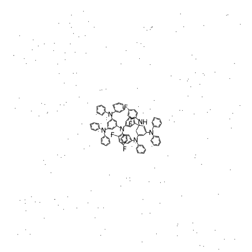 Fc1ccc(NC2(c3cccc(N(c4cc(N(c5ccccc5)c5ccccc5)cc(N(c5ccccc5)c5ccccc5)c4)c4ccc(F)cc4F)c3)C=C(N(c3ccccc3)c3ccccc3)C=C(N(c3ccccc3)c3ccccc3)C2)c(F)c1